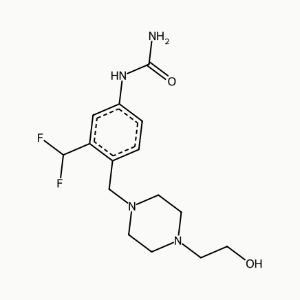 NC(=O)Nc1ccc(CN2CCN(CCO)CC2)c(C(F)F)c1